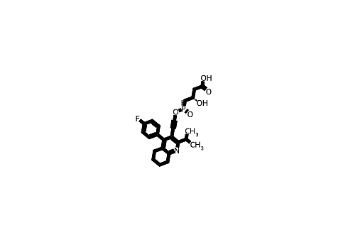 CC(C)c1nc2c(c(-c3ccc(F)cc3)c1C#CO[PH](=O)C[C@@H](O)CC(=O)O)CCCC2